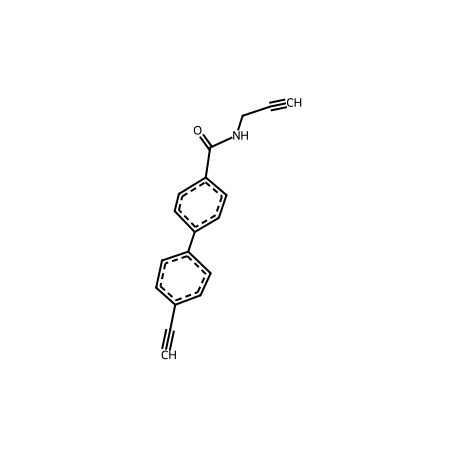 C#CCNC(=O)c1ccc(-c2ccc(C#C)cc2)cc1